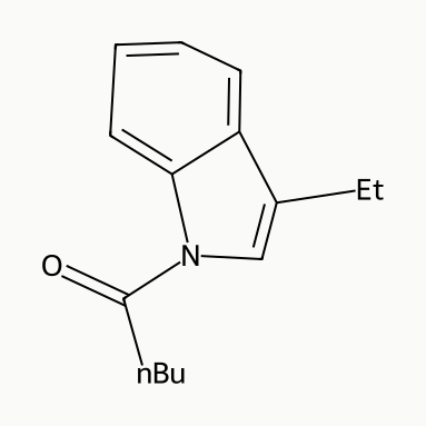 CCCCC(=O)n1cc(CC)c2ccccc21